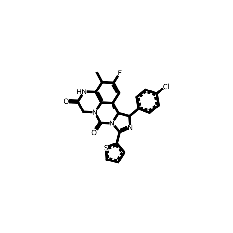 CC1C(F)=CC2(C)C3=C1NC(=O)CN3C(=O)N1C(c3cccs3)=NC(c3ccc(Cl)cc3)C12